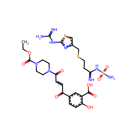 CCOC(=O)N1CCN(C(=O)/C=C/C(=O)c2ccc(O)c(C(=O)O)c2)CC1.N=C(N)Nc1nc(CSCCC(=N)NS(N)(=O)=O)cs1